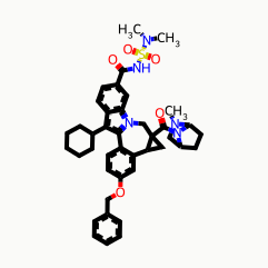 CN1CC2CCC1N2C(=O)C12CC1c1cc(OCc3ccccc3)ccc1-c1c(C3CCCCC3)c3ccc(C(=O)NS(=O)(=O)N(C)C)cc3n1C2